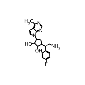 Cc1ncnc2c1ccn2C1CC([C@@H](CN)c2ccc(F)cc2)[C@@H](O)[C@H]1O